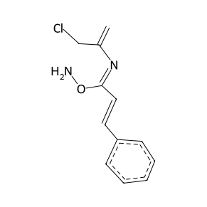 C=C(CCl)/N=C(/C=C/c1ccccc1)ON